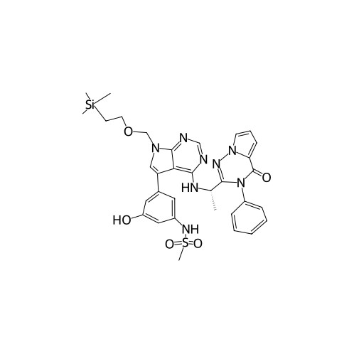 C[C@H](Nc1ncnc2c1c(-c1cc(O)cc(NS(C)(=O)=O)c1)cn2COCC[Si](C)(C)C)c1nn2cccc2c(=O)n1-c1ccccc1